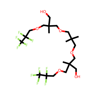 CC(C)(COCC(C)(CO)COCC(F)(F)C(F)(F)F)COCC(C)(CO)COCC(F)(F)C(F)(F)F